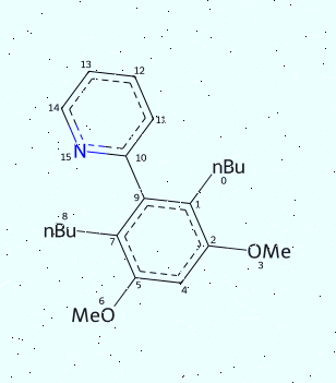 CCCCc1c(OC)cc(OC)c(CCCC)c1-c1ccccn1